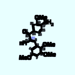 CCC/C(=C\c1cc(OC)cc(OC)c1OC)C(=O)c1ccc(N)c(OC)c1